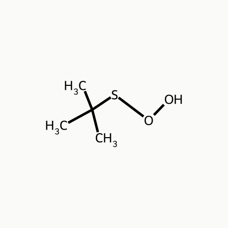 CC(C)(C)SOO